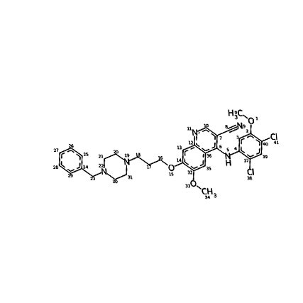 COc1cc(Nc2c(C#N)cnc3cc(OCCCN4CCN(Cc5ccccc5)CC4)c(OC)cc23)c(Cl)cc1Cl